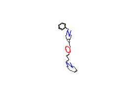 c1ccc(CN2CC3C(COCCCCN4CCCCC4)C3C2)cc1